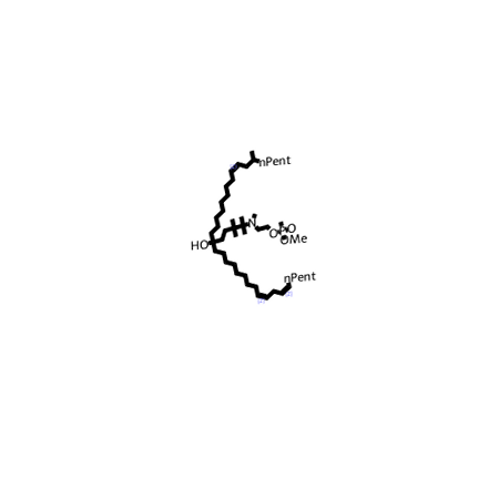 CCCCC/C=C\C/C=C\CCCCCCCCC(O)(CCCCCCCC/C=C\CC(C)CCCCC)CCC(C)(C)C(C)(C)N(C)CCOP(C)(=O)OC